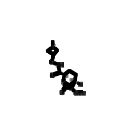 CON1C(=O)N2C[C@H]1CC[C@H]2C(=O)NOC1CN(C)C1